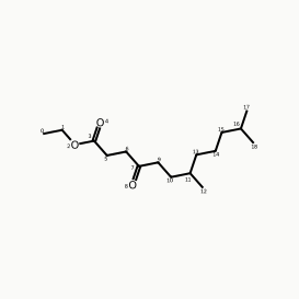 CCOC(=O)CCC(=O)CCC(C)CCCC(C)C